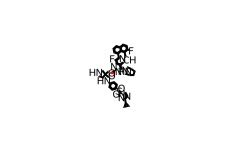 C#Cc1c(F)ccc2cccc(-c3ncc4c(N5CC6CCC(C5)N6)nc(OCC5(C(=O)Nc6ccc(S(=O)(=O)n7cnc(C8CC8)n7)cc6)CCNC5)nc4c3F)c12